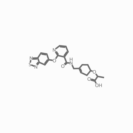 CC(OC1CC=C(CNC(=O)c2cccnc2Oc2ccc3nsnc3c2)CC1)C(=O)O